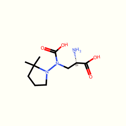 CC1(C)CCCN1N(C[C@H](N)C(=O)O)C(=O)O